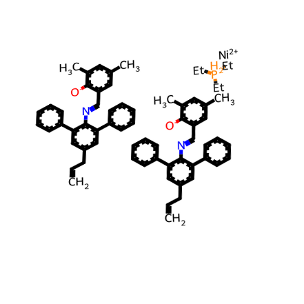 C=CCc1cc(-c2ccccc2)c(N=Cc2cc(C)cc(C)c2[O-])c(-c2ccccc2)c1.C=CCc1cc(-c2ccccc2)c(N=Cc2cc(C)cc(C)c2[O-])c(-c2ccccc2)c1.CC[PH2](CC)CC.[Ni+2]